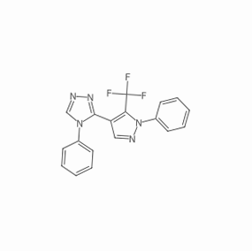 FC(F)(F)c1c(-c2nncn2-c2ccccc2)cnn1-c1ccccc1